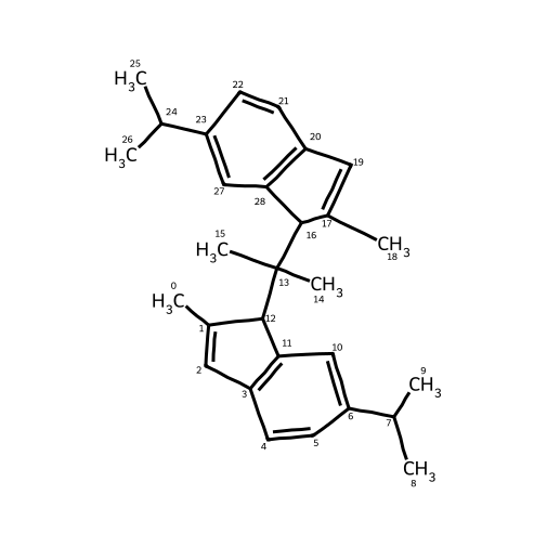 CC1=Cc2ccc(C(C)C)cc2C1C(C)(C)C1C(C)=Cc2ccc(C(C)C)cc21